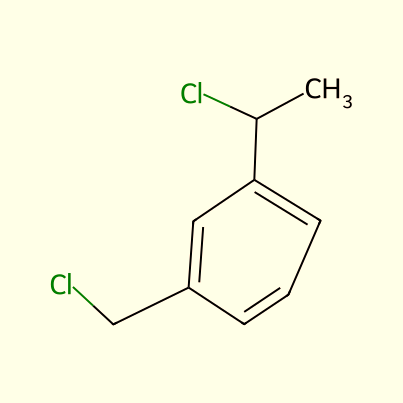 CC(Cl)c1cccc(CCl)c1